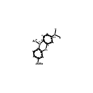 CNc1ccc2c(c1)Sc1cc(N(C)C)ccc1N2C(C)=O